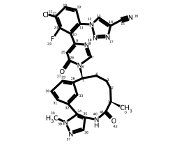 C[C@@H]1CCC[C@H](n2cnc(-c3c(-n4cc(C#N)nn4)ccc(Cl)c3F)cc2=O)c2cccc(c2)-c2c(cnn2C)NC1=O